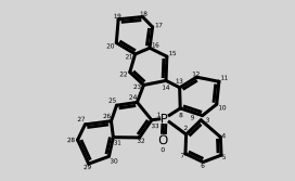 O=P1(c2ccccc2)c2ccccc2-c2cc3ccccc3cc2-c2cc3ccccc3cc21